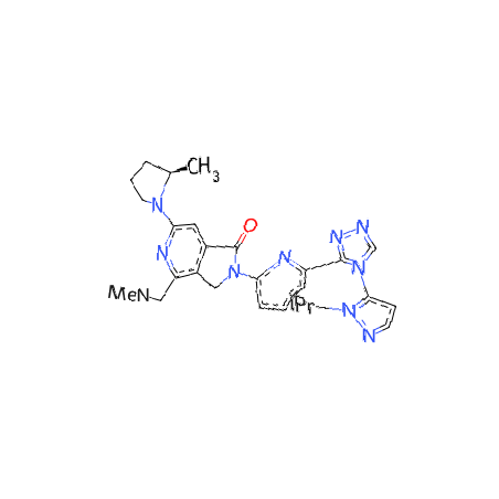 CNCc1nc(N2CCC[C@H]2C)cc2c1CN(c1cccc(-c3nncn3-c3ccnn3C(C)C)n1)C2=O